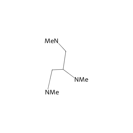 CNCC(CNC)NC